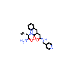 CCCCC(NC(=O)C(CC(=O)NCc1ccncc1)Cc1ccccc1)C(N)=O